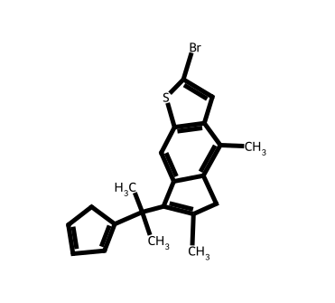 CC1=C(C(C)(C)C2=CC=CC2)c2cc3sc(Br)cc3c(C)c2C1